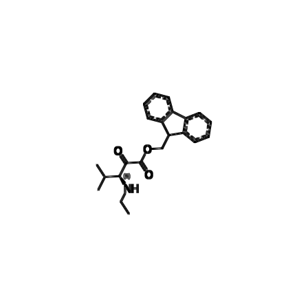 CCN[C@H](C(=O)C(=O)OCC1c2ccccc2-c2ccccc21)C(C)C